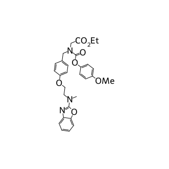 CCOC(=O)CN(Cc1ccc(OCCN(C)c2nc3ccccc3o2)cc1)C(=O)Oc1ccc(OC)cc1